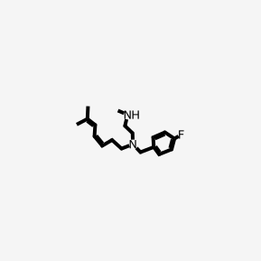 CNCCN(CC/C=C\C=C(C)C)Cc1ccc(F)cc1